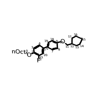 CCCCCCCCOc1ccc(-c2ccc(OCC3CC[CH]CC3)cc2)cc1F